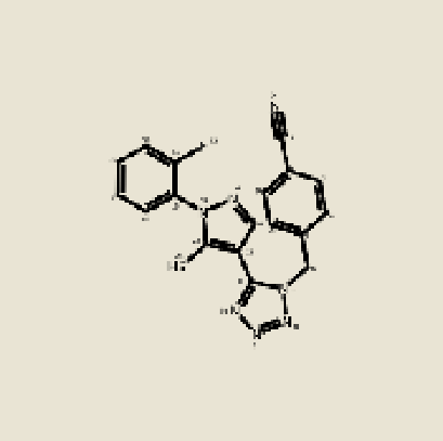 N#Cc1ccc(Cn2nnnc2-c2cnn(-c3ccccc3F)c2S)cc1